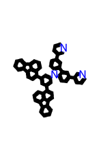 c1cncc(-c2ccc3c(c2)c2cc(-c4cccnc4)ccc2n3-c2cc(-c3ccc4c5c(cccc35)-c3ccccc3-4)cc(-c3ccc4c5c(cccc35)-c3ccccc3-4)c2)c1